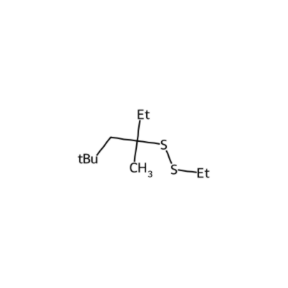 CCSSC(C)(CC)CC(C)(C)C